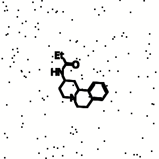 CCC(=O)NC1CCN2CCc3ccccc3C2C1